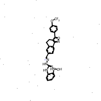 ONc1ccccc1NC(=S)N/N=C/c1ccc2c(c1)CCc1c-2noc1-c1ccc(OC(F)(F)F)cc1